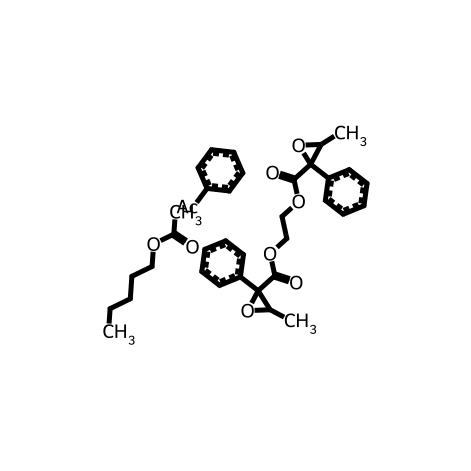 CC(=O)c1ccccc1.CC1OC1(C(=O)OCCOC(=O)C1(c2ccccc2)OC1C)c1ccccc1.CCCCCOC(C)=O